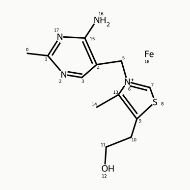 Cc1ncc(C[n+]2csc(CCO)c2C)c(N)n1.[Fe]